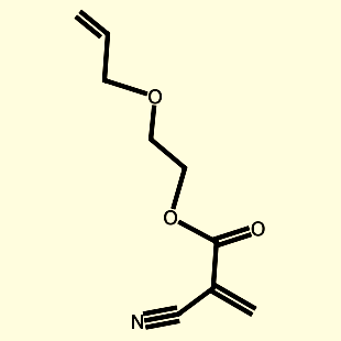 C=CCOCCOC(=O)C(=C)C#N